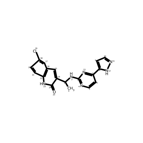 CC(Nc1nccc(-c2ccn[nH]2)n1)c1cc2cc(Cl)ccc2[nH]c1=O